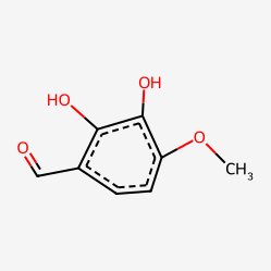 COc1ccc(C=O)c(O)c1O